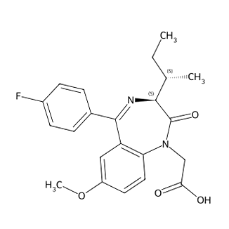 CC[C@H](C)[C@@H]1N=C(c2ccc(F)cc2)c2cc(OC)ccc2N(CC(=O)O)C1=O